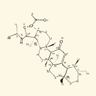 CC(=O)O[C@@H]1CC[C@@]2(C)C(CC[C@]3(C)C2C(=O)C=C2C4[C@@H](C)[C@H](C)CC[C@]4(C)CC[C@]23C)[C@@]1(C)C(=O)NC(C)C